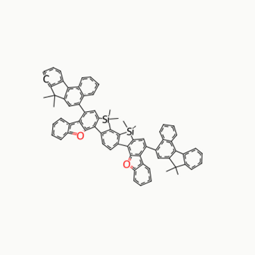 CC1(C)c2ccccc2-c2c1cc(-c1cc3c(c4oc5ccccc5c14)-c1ccc4c(c1[Si]3(C)C)[Si](C)(C)c1cc(-c3cc5c(c6ccccc36)-c3ccccc3C5(C)C)c3c(oc5ccccc53)c1-4)c1ccccc21